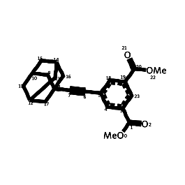 COC(=O)c1cc(C#CC23CC4CC(CC(C4)C2)C3)cc(C(=O)OC)c1